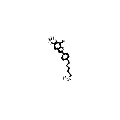 CCCCCCc1ccc(-c2cc3cc(OC)cc(F)c3s2)cc1